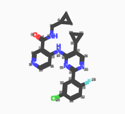 O=C(NCC1CC1)c1cnccc1Nc1nc(-c2cc(Cl)ccc2F)ncc1C1CC1